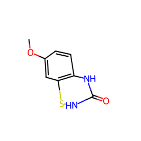 COc1ccc2c(c1)SNC(=O)N2